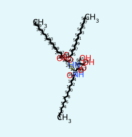 CCCCCCCCCCCCCCCC(=O)N[C@@H](CSC[C@H](COC(=O)CCCCCCCCCCCCCCC)OC(=O)CCCCCCCCCCCCCCC)C(=O)N[C@@H](CO)C(=O)O